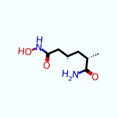 C[C@@H](C[CH]CC(=O)NO)C(N)=O